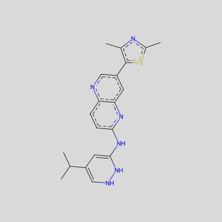 Cc1nc(C)c(-c2cnc3ccc(NC4=CC(C(C)C)=CNN4)nc3c2)s1